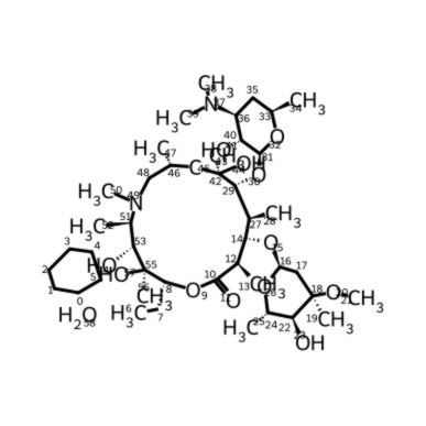 C1CCCCC1.CC[C@H]1OC(=O)[C@H](C)[C@@H](O[C@H]2C[C@@](C)(OC)[C@@H](O)[C@H](C)O2)[C@H](C)[C@@H](O[C@@H]2O[C@H](C)C[C@H](N(C)C)[C@H]2O)[C@](C)(O)C[C@@H](C)CN(C)[C@H](C)[C@@H](O)[C@]1(C)O.O